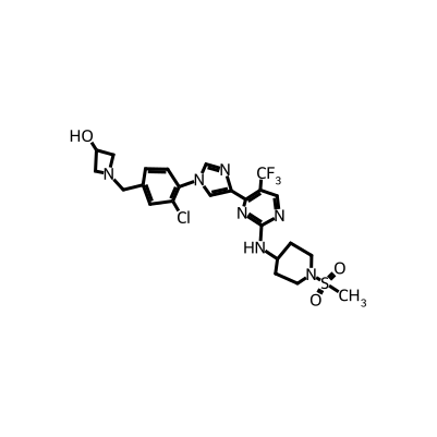 CS(=O)(=O)N1CCC(Nc2ncc(C(F)(F)F)c(-c3cn(-c4ccc(CN5CC(O)C5)cc4Cl)cn3)n2)CC1